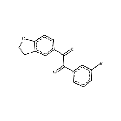 O=C(C(=O)c1ccc2c(c1)CCO2)c1cccc(Br)c1